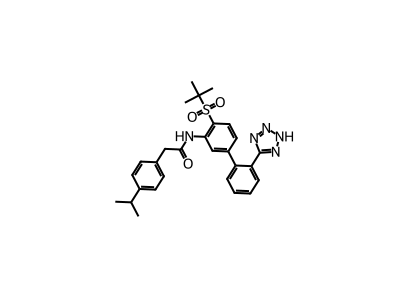 CC(C)c1ccc(CC(=O)Nc2cc(-c3ccccc3-c3nn[nH]n3)ccc2S(=O)(=O)C(C)(C)C)cc1